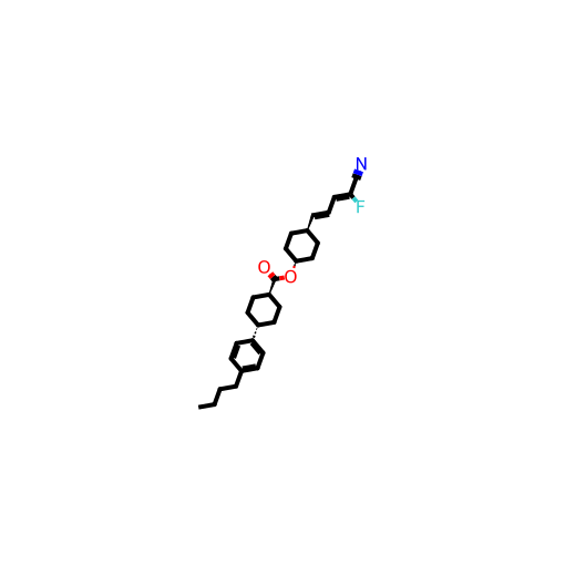 CCCCc1ccc([C@H]2CC[C@H](C(=O)O[C@H]3CC[C@H](C=CC=C(F)C#N)CC3)CC2)cc1